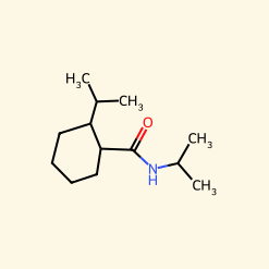 CC(C)NC(=O)C1CCCCC1C(C)C